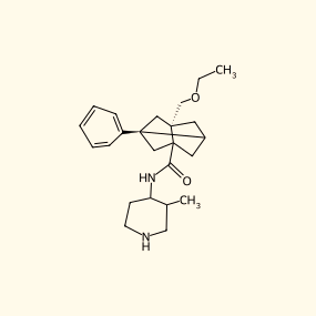 CCOC[C@]12CC3CC1(C(=O)NC1CCNCC1C)C[C@]3(c1ccccc1)C2